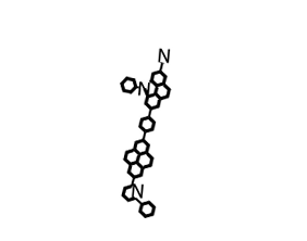 N#Cc1cc2ccc3cc(-c4ccc(-c5cc6ccc7cc(-c8cccc(-c9ccccc9)n8)cc8ccc(c5)c6c78)cc4)cc4c3c2c(c1)n4-c1ccccc1